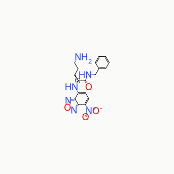 NCCC[C@H](Nc1ccc([N+](=O)[O-])c2nonc12)C(=O)NCc1ccccc1